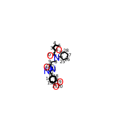 O=C(c1ccco1)N(CCc1nc(-c2ccc3c(c2)OCO3)no1)C1CCCCC1